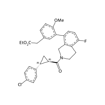 CCOC(=O)Cc1ccc(OC)c(-c2ccc(F)c3c2CN(C(=O)[C@@H]2C[C@H]2c2ccc(Cl)cc2)CC3)c1